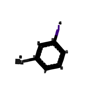 CCC(C)c1[c]c(I)ccc1